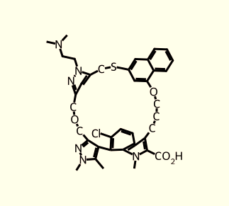 Cc1c2c(nn1C)COCc1cc(n(CCN(C)C)n1)CSc1cc(c3ccccc3c1)OCCCc1c(C(=O)O)n(C)c3c-2c(Cl)ccc13